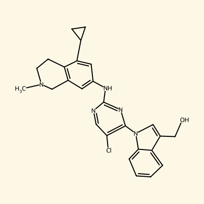 CN1CCc2c(cc(Nc3ncc(Cl)c(-n4cc(CO)c5ccccc54)n3)cc2C2CC2)C1